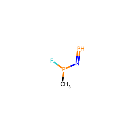 CP(F)N=P